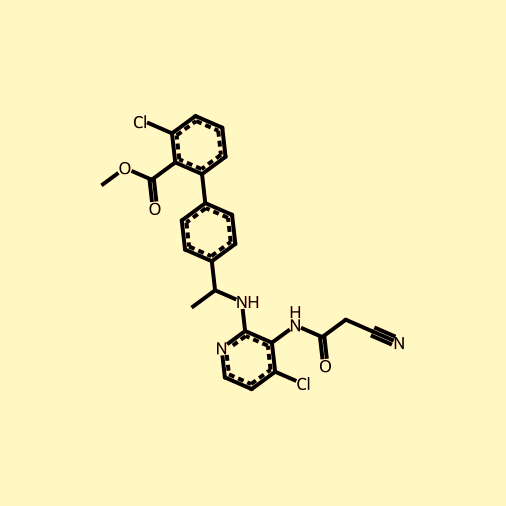 COC(=O)c1c(Cl)cccc1-c1ccc(C(C)Nc2nccc(Cl)c2NC(=O)CC#N)cc1